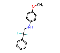 COc1ccc(NCC(F)(F)c2ccccc2)cc1